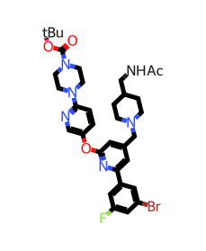 CC(=O)NCC1CCN(Cc2cc(Oc3ccc(N4CCN(C(=O)OC(C)(C)C)CC4)nc3)nc(-c3cc(F)cc(Br)c3)c2)CC1